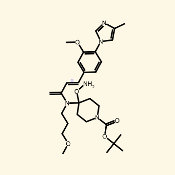 C=C(/C=C/c1ccc(-n2cnc(C)c2)c(OC)c1)N(CCCOC)C1(ON)CCN(C(=O)OC(C)(C)C)CC1